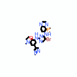 CN1CCOc2c(Nc3ncc(Br)c(Nc4ccc5nccnc5c4P(C)C)n3)cc(-c3cnn(C)c3)cc21